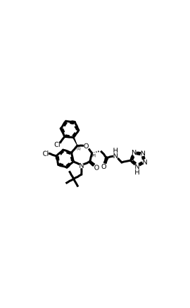 CC(C)(C)CN1C(=O)[C@@H](CC(=O)NCc2nnn[nH]2)O[C@H](c2ccccc2Cl)c2cc(Cl)ccc21